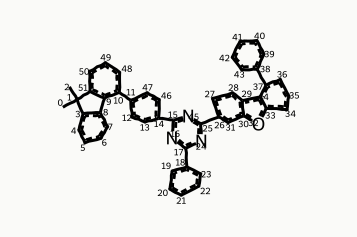 CC1(C)c2ccccc2-c2c(-c3ccc(-c4nc(-c5ccccc5)nc(-c5ccc6c(c5)oc5cccc(-c7ccccc7)c56)n4)cc3)cccc21